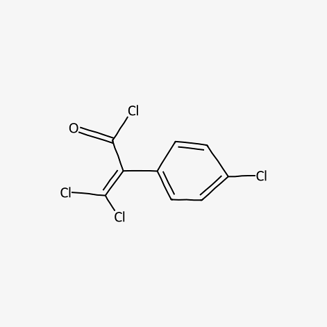 O=C(Cl)C(=C(Cl)Cl)c1ccc(Cl)cc1